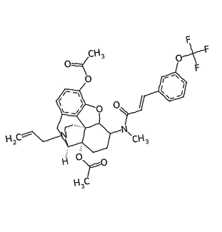 C=CCN1CC[C@]23c4c5ccc(OC(C)=O)c4OC2C(N(C)C(=O)/C=C/c2cccc(OC(F)(F)F)c2)CC[C@@]3(OC(C)=O)[C@H]1C5